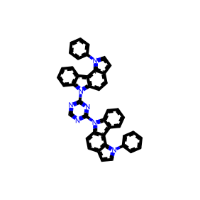 c1ccc(-n2ccc3ccc4c(c5ccccc5n4-c4ncnc(-n5c6ccccc6c6c7c(ccc65)ccn7-c5ccccc5)n4)c32)cc1